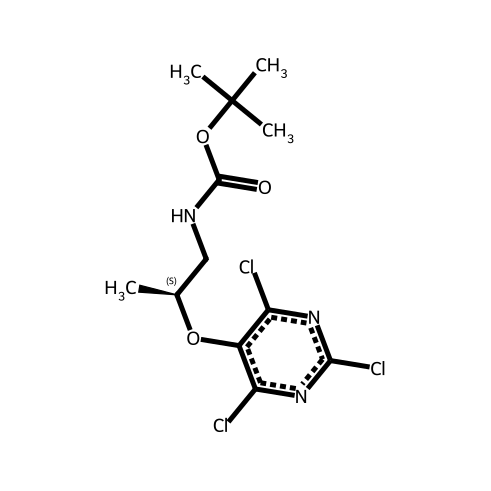 C[C@@H](CNC(=O)OC(C)(C)C)Oc1c(Cl)nc(Cl)nc1Cl